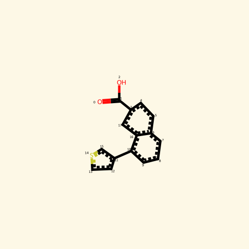 O=C(O)c1ccc2cccc(-c3ccsc3)c2c1